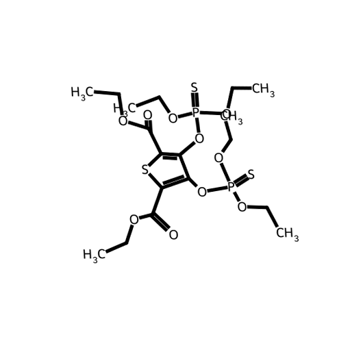 CCOC(=O)c1sc(C(=O)OCC)c(OP(=S)(OCC)OCC)c1OP(=S)(OCC)OCC